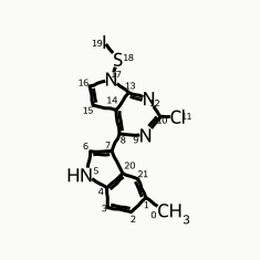 Cc1ccc2[nH]cc(-c3nc(Cl)nc4c3ccn4SI)c2c1